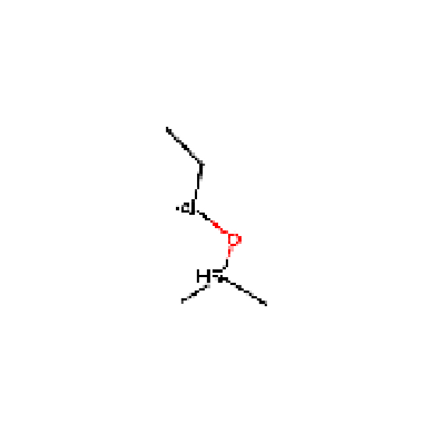 C[CH2][Al][O][SiH](C)C